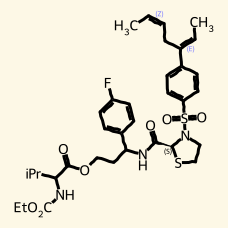 C/C=C\C/C(=C\C)c1ccc(S(=O)(=O)N2CCS[C@H]2C(=O)NC(CCOC(=O)C(NC(=O)OCC)C(C)C)c2ccc(F)cc2)cc1